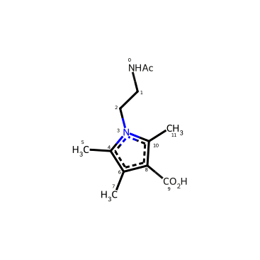 CC(=O)NCCn1c(C)c(C)c(C(=O)O)c1C